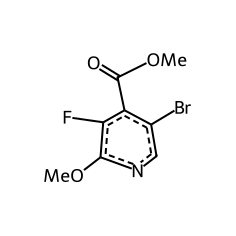 COC(=O)c1c(Br)cnc(OC)c1F